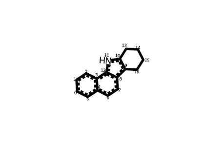 c1ccc2c(c1)ccc1c3c([nH]c12)CCCC3